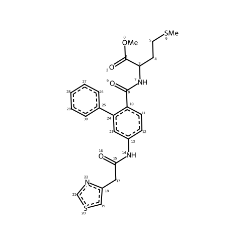 COC(=O)C(CCSC)NC(=O)c1ccc(NC(=O)Cc2cscn2)cc1-c1ccccc1